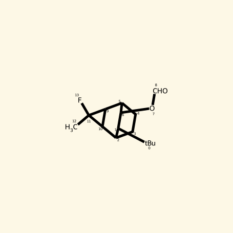 CC(C)(C)C1C2CCC(C1OC=O)C1C2C1(C)F